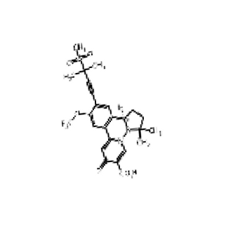 CC1(C)CC[C@@H]2c3cc(C#CC(C)(C)S(C)(=O)=O)c(OC(F)(F)F)cc3-c3cc(=O)c(C(=O)O)cn3N21